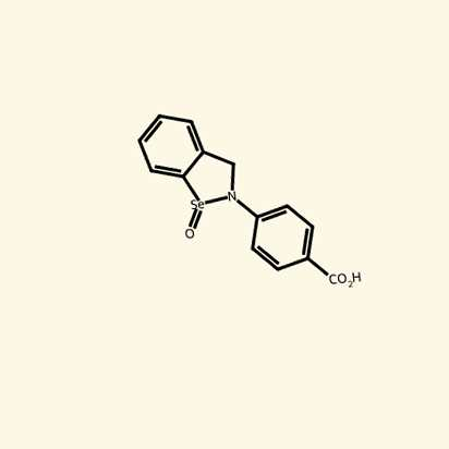 O=C(O)c1ccc(N2Cc3ccccc3[Se]2=O)cc1